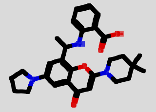 CC(Nc1ccccc1C(=O)O)c1cc(N2CCCC2)cc2c(=O)cc(N3CCC(C)(C)CC3)oc12